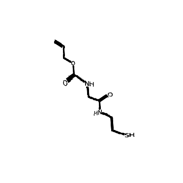 C=CCOC(=O)NCC(=O)NCCS